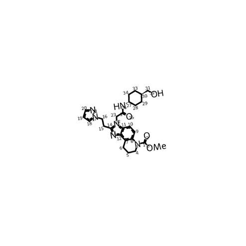 COC(=O)N1CCCc2c1ccc1c2nc(CCn2cccn2)n1CC(=O)N[C@H]1CC[C@H](CO)CC1